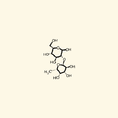 C[C@@H]1O[C@@H](O[C@H]2C(O)O[C@H](CO)[C@@H](O)[C@@H]2O)[C@@H](O)[C@H](O)[C@@H]1O